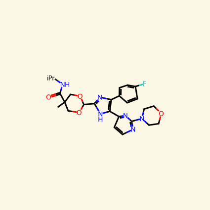 CC(C)NC(=O)C1(C)COC(c2nc(-c3ccc(F)cc3)c(-c3ccnc(N4CCOCC4)n3)[nH]2)OC1